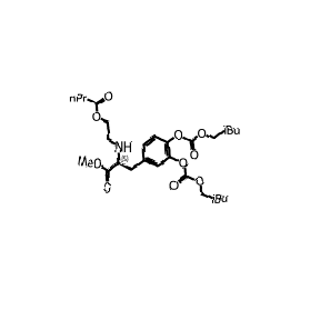 CCCC(=O)OCCN[C@@H](Cc1ccc(OC(=O)OCC(C)CC)c(OC(=O)OCC(C)CC)c1)C(=O)OC